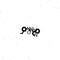 CCc1cccc(NC(=O)Nc2ccnc3ccccc23)c1